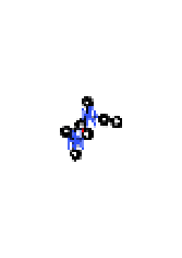 c1ccc(-c2ccc(-c3nc(-c4ccccc4)nc(-c4ccc(-c5c6ccccc6c6nc(-c7ccccc7)nc(-c7ccccc7)n56)cc4)n3)cc2)cc1